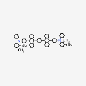 CCCCc1cccc(N(c2ccccc2)c2ccc(-c3c4ccccc4c(-c4ccc(-c5c6ccccc6c(-c6ccc(N(c7ccccc7)c7cccc(C)c7CCCC)cc6)c6ccccc56)cc4)c4ccccc34)cc2)c1C